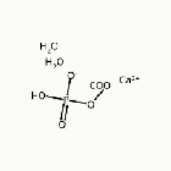 O.O.O=C([O-])OP(=O)([O-])O.[Ca+2]